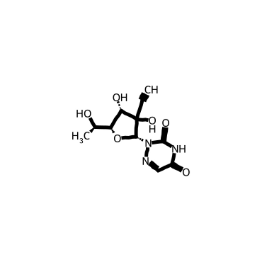 C#CC1(O)[C@@H](O)[C@@H]([C@@H](C)O)O[C@H]1n1ncc(=O)[nH]c1=O